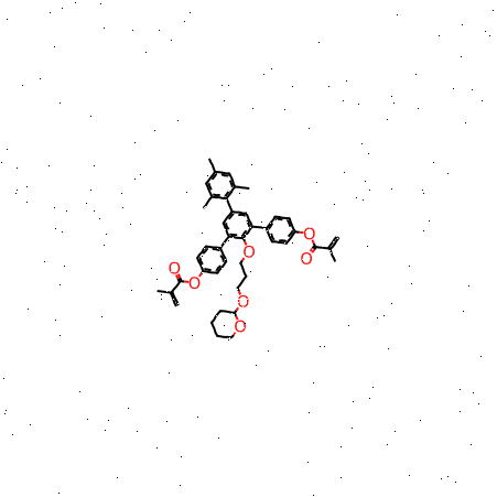 C=C(C)C(=O)Oc1ccc(-c2cc(-c3c(C)cc(C)cc3C)cc(-c3ccc(OC(=O)C(=C)C)cc3)c2OCCCOC2CCCCO2)cc1